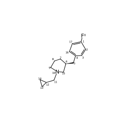 Fc1ccc(C[C@@H]2CCCN(CC3[CH]C3)C2)cc1